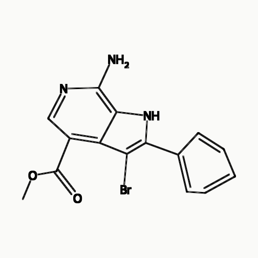 COC(=O)c1cnc(N)c2[nH]c(-c3ccccc3)c(Br)c12